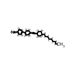 CCCCCCCCCC1CCC(C#Cc2ccc(-c3ccc(C#N)cc3)cc2)CC1